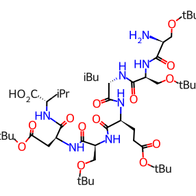 CC[C@H](C)[C@H](NC(=O)[C@H](COC(C)(C)C)NC(=O)[C@@H](N)COC(C)(C)C)C(=O)N[C@@H](CCC(=O)OC(C)(C)C)C(=O)N[C@@H](COC(C)(C)C)C(=O)N[C@@H](CC(=O)OC(C)(C)C)C(=O)N[C@H](C(=O)O)C(C)C